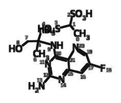 CC(S(=O)(=O)O)S(=O)(=O)O.CCCCC(C)(CO)Nc1nc(N)nc2cc(F)cnc12